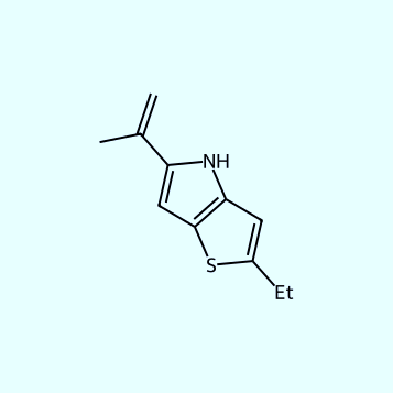 C=C(C)c1cc2sc(CC)cc2[nH]1